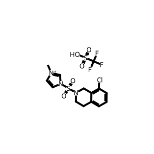 C[n+]1ccn(S(=O)(=O)N2CCc3cccc(Cl)c3C2)c1.O=S(=O)(O)C(F)(F)F